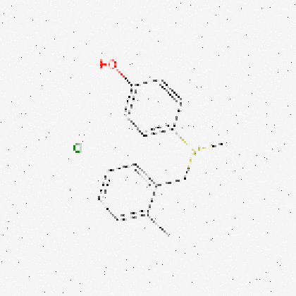 Cc1ccccc1C[S+](C)c1ccc(O)cc1.[Cl-]